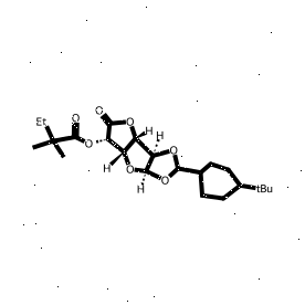 CCC(C)(C)C(=O)O[C@@H]1C(=O)O[C@@H]2[C@H]3OC(C4CCC(C(C)(C)C)CC4)O[C@H]3O[C@@H]21